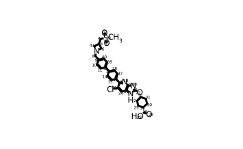 CS(=O)(=O)CC1CN(Cc2ccc(-c3ccc(-c4nc5nc(O[C@H]6CC[C@@H](C(=O)O)CC6)[nH]c5cc4Cl)cc3)cc2)C1